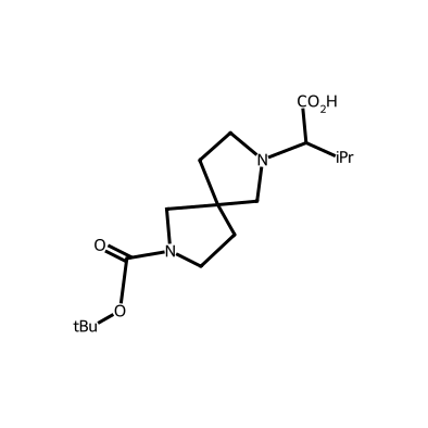 CC(C)C(C(=O)O)N1CCC2(CCN(C(=O)OC(C)(C)C)C2)C1